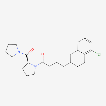 Cc1cc(Cl)c2c(c1)CC(CCCC(=O)N1CCC[C@H]1C(=O)N1CCCC1)CC2